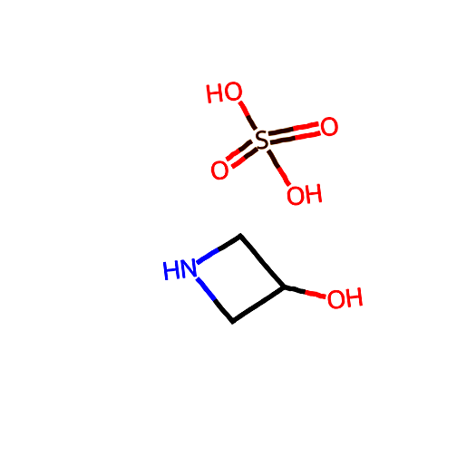 O=S(=O)(O)O.OC1CNC1